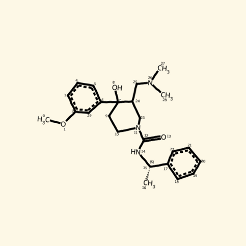 COc1cccc(C2(O)CCN(C(=O)N[C@@H](C)c3ccccc3)CC2CN(C)C)c1